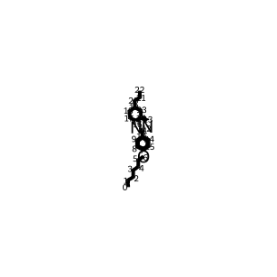 CCCCCCOc1ccc(-c2ncc3c(n2)CCC(CCC)C3)cc1